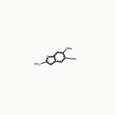 COc1cc2cc(C(=O)O)oc2cc1OC